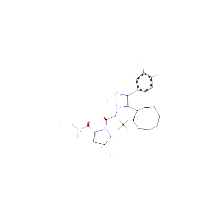 CNC(=O)[C@@H]1C[C@@H](O)CN1C(=O)[C@@H](N1NNC(c2ccc(F)c(F)c2)C1C1CCCCCCC1)C(C)(C)C